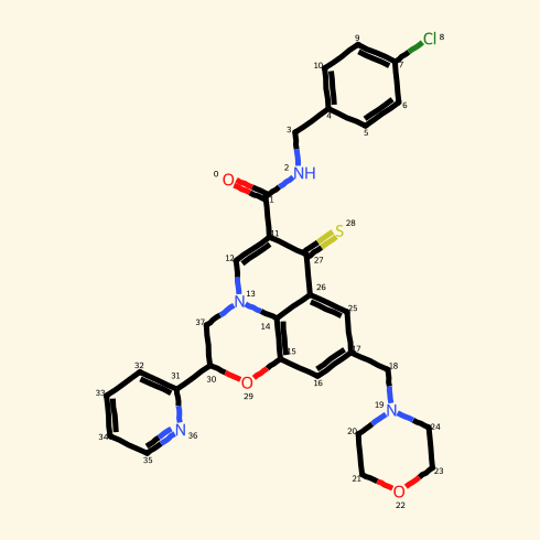 O=C(NCc1ccc(Cl)cc1)c1cn2c3c(cc(CN4CCOCC4)cc3c1=S)OC(c1ccccn1)C2